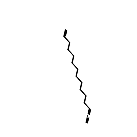 [CH]=C=CCCCCCCCCCCC=C